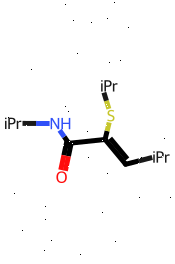 CC(C)/C=C(\SC(C)C)C(=O)NC(C)C